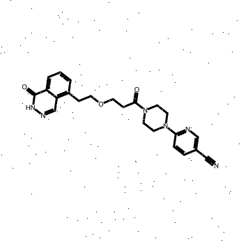 N#Cc1ccc(N2CCN(C(=O)CCOCCc3cccc4c(=O)[nH]ncc34)CC2)nc1